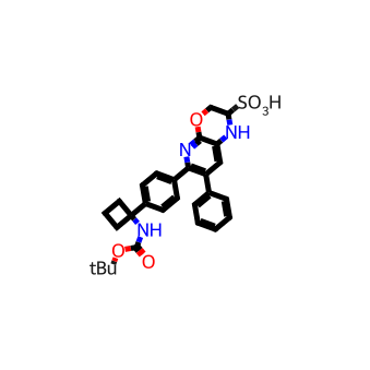 CC(C)(C)OC(=O)NC1(c2ccc(-c3nc4c(cc3-c3ccccc3)NC(S(=O)(=O)O)CO4)cc2)CCC1